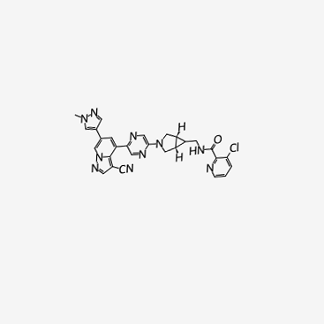 Cn1cc(-c2cc(-c3cnc(N4C[C@@H]5C(CNC(=O)c6ncccc6Cl)[C@@H]5C4)cn3)c3c(C#N)cnn3c2)cn1